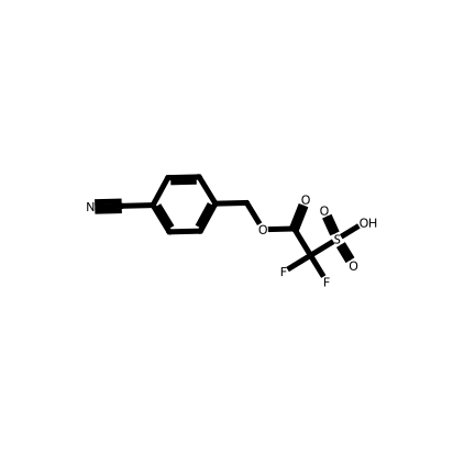 N#Cc1ccc(COC(=O)C(F)(F)S(=O)(=O)O)cc1